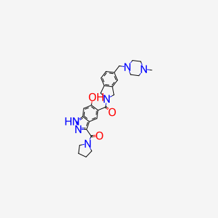 CN1CCN(Cc2ccc3c(c2)CN(C(=O)c2cc4c(C(=O)N5CCCC5)n[nH]c4cc2O)C3)CC1